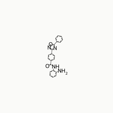 Nc1ccccc1NC(=O)c1ccc(-c2noc(-c3ccccc3)n2)cc1